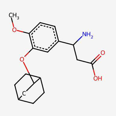 COc1ccc(C(N)CC(=O)O)cc1OC1CC2CCC1CC2